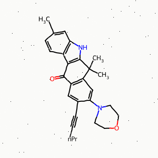 CCCC#Cc1cc2c(cc1N1CCOCC1)C(C)(C)c1[nH]c3cc(C)ccc3c1C2=O